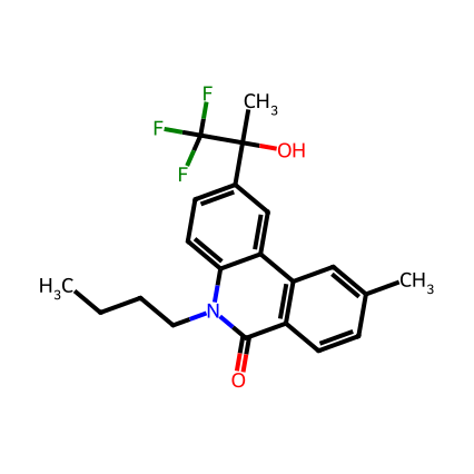 CCCCn1c(=O)c2ccc(C)cc2c2cc(C(C)(O)C(F)(F)F)ccc21